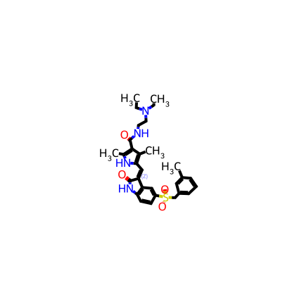 CCN(CC)CCNC(=O)c1c(C)[nH]c(/C=C2\C(=O)Nc3ccc(S(=O)(=O)Cc4cccc(C)c4)cc32)c1C